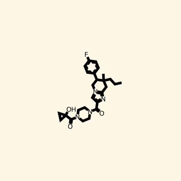 CCCC1(C)Cc2nc(C(=O)N3CCN(C(=O)C4(O)CC4)CC3)cn2CC1c1ccc(F)cc1